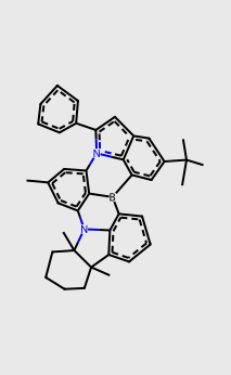 Cc1cc2c3c(c1)-n1c(-c4ccccc4)cc4cc(C(C)(C)C)cc(c41)B3c1cccc3c1N2C1(C)CCCCC31C